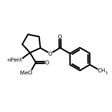 CCCCCC1(C(=O)OC)CCCC1OC(=O)c1ccc(C)cc1